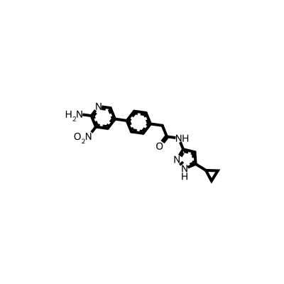 Nc1ncc(-c2ccc(CC(=O)Nc3cc(C4CC4)[nH]n3)cc2)cc1[N+](=O)[O-]